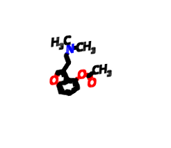 CC(=O)Oc1cccc2occ(CCN(C)C)c12